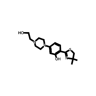 CC1(C)CSC(c2ccc(N3CCN(CCO)CC3)cc2O)=N1